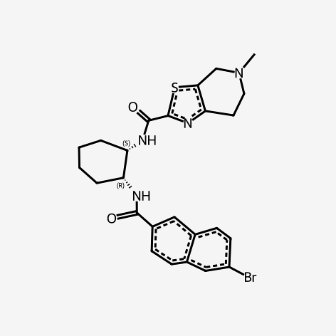 CN1CCc2nc(C(=O)N[C@H]3CCCC[C@H]3NC(=O)c3ccc4cc(Br)ccc4c3)sc2C1